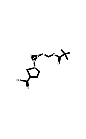 CC(C)(C)C(=O)OCOn1on1N1CCC(C(=O)O)C1